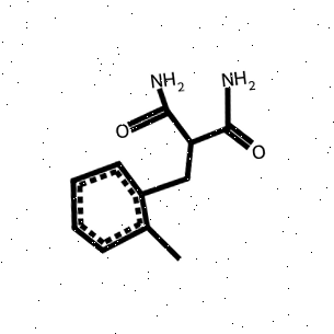 Cc1ccccc1CC(C(N)=O)C(N)=O